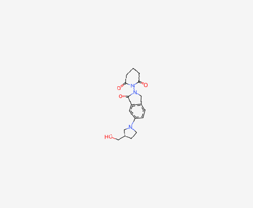 O=C1c2cc(N3CCC(CO)C3)ccc2CN1N1C(=O)CCCC1=O